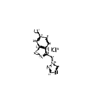 Cl.Clc1ccc2c(Cn3cncn3)nsc2c1